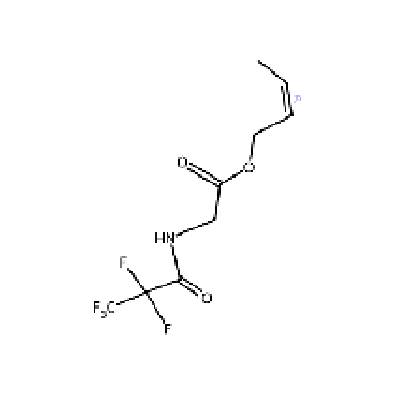 C/C=C\COC(=O)CNC(=O)C(F)(F)C(F)(F)F